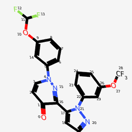 O=c1ccn(-c2cccc(OC(F)F)c2)nc1-c1ccnn1-c1cccc(OC(F)(F)F)c1